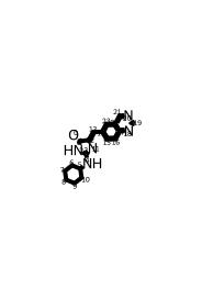 O=C1NC(NC2CCCCC2)=N/C1=C\c1ccc2ncncc2c1